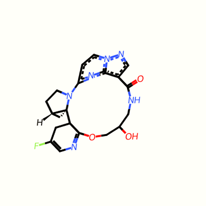 O=C1NCC(O)COC2=NC=C(F)CC2[C@@]23C[C@@H]2CCN3c2ccn3ncc1c3n2